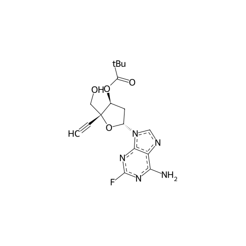 C#C[C@]1(CO)O[C@@H](n2cnc3c(N)nc(F)nc32)C[C@@H]1OC(=O)C(C)(C)C